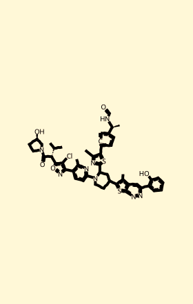 Cc1nc(N2CCC(c3sc4nnc(-c5ccccc5O)cc4c3C)CC2c2nc(C)c(-c3ccc([C@H](C)NC=O)cc3)s2)ccc1-c1noc([C@H](C(=O)N2CC[C@@H](O)C2)C(C)C)c1Cl